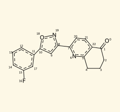 O=C1CCCc2nc(-c3cc(-c4cccc(F)c4)on3)ccc21